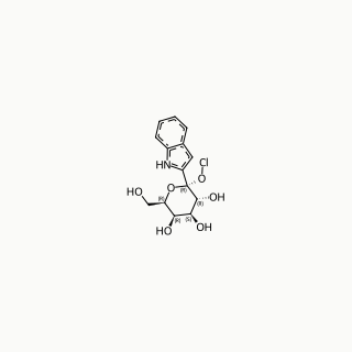 OC[C@H]1O[C@@](OCl)(c2cc3ccccc3[nH]2)[C@H](O)[C@@H](O)[C@H]1O